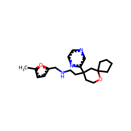 Cc1ccc(CNCCC2(c3cnccn3)CCOC3(CCCC3)C2)o1